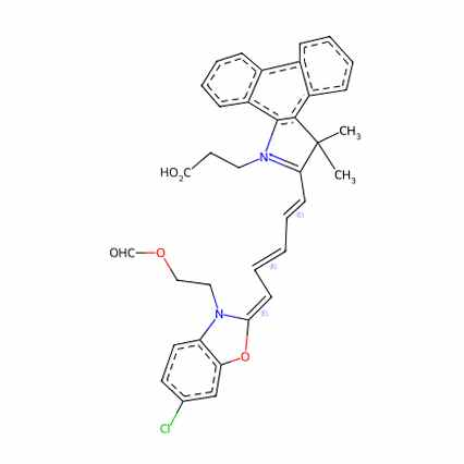 CC1(C)C(/C=C/C=C/C=C2/Oc3cc(Cl)ccc3N2CCOC=O)=[N+](CCC(=O)O)c2c1c1ccccc1c1ccccc21